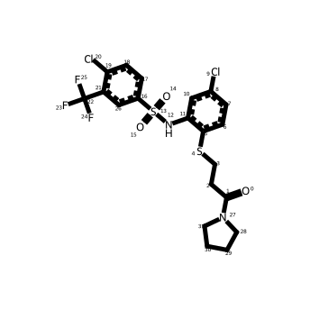 O=C(CCSc1ccc(Cl)cc1NS(=O)(=O)c1ccc(Cl)c(C(F)(F)F)c1)N1CCCC1